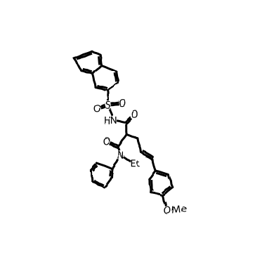 CCN(C(=O)C(CC=Cc1ccc(OC)cc1)C(=O)NS(=O)(=O)c1ccc2ccccc2c1)c1ccccc1